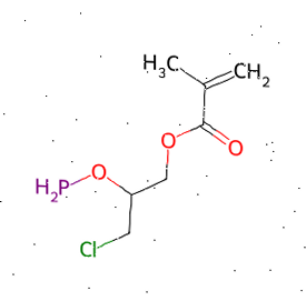 C=C(C)C(=O)OCC(CCl)OP